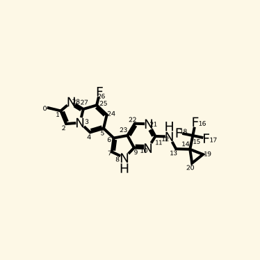 Cc1cn2cc(-c3c[nH]c4nc(NCC5(C(F)(F)F)CC5)ncc34)cc(F)c2n1